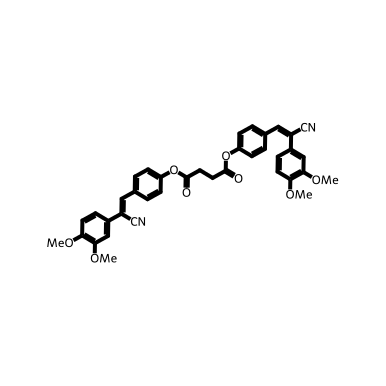 COc1ccc(C(C#N)=Cc2ccc(OC(=O)CCC(=O)Oc3ccc(C=C(C#N)c4ccc(OC)c(OC)c4)cc3)cc2)cc1OC